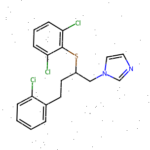 Clc1ccccc1CCC(Cn1ccnc1)Sc1c(Cl)cccc1Cl